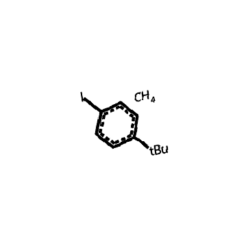 C.CC(C)(C)c1ccc(I)cc1